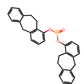 O=[PH](Oc1cccc2c1CCc1ccccc1C2)Oc1cccc2c1CCc1ccccc1C2